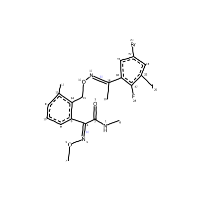 CNC(=O)/C(=N/OC)c1cccc(C)c1CO/N=C(\C)c1cc(Br)cc(I)c1F